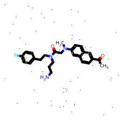 CC(=O)c1ccc2cc(N(C)CC(=O)N(CCCN)CCc3ccc(F)cc3)ccc2c1